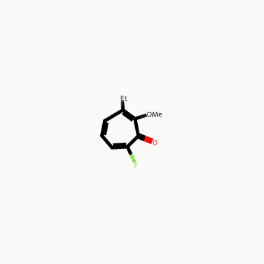 CCc1cccc(F)c(=O)c1OC